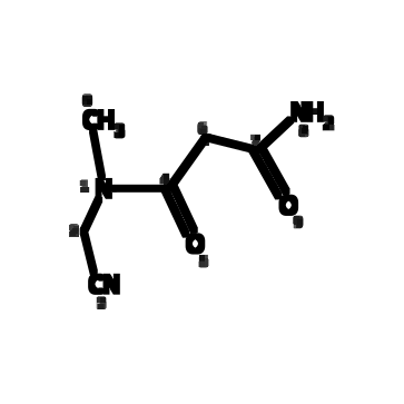 CN(CC#N)C(=O)[CH]C(N)=O